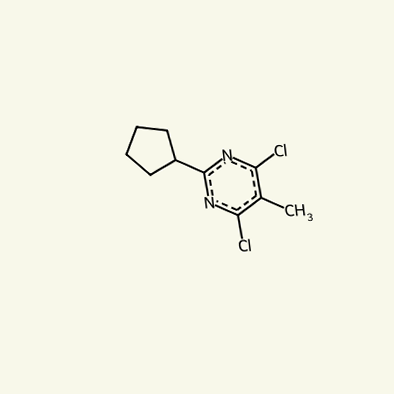 Cc1c(Cl)nc(C2CCCC2)nc1Cl